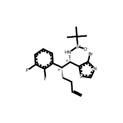 C=CCC[C@H](c1cccc(F)c1F)[C@H](N[S+]([O-])C(C)(C)C)c1scnc1Br